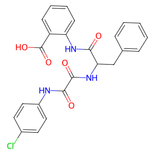 O=C(Nc1ccc(Cl)cc1)C(=O)NC(Cc1ccccc1)C(=O)Nc1ccccc1C(=O)O